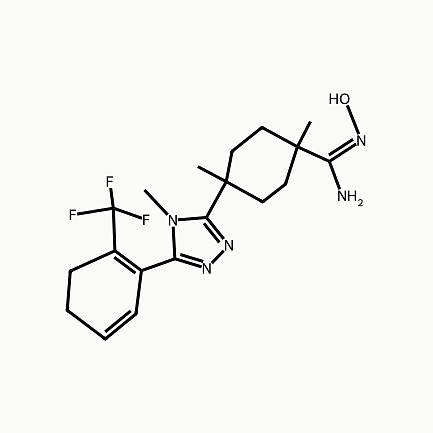 Cn1c(C2=C(C(F)(F)F)CCC=C2)nnc1C1(C)CCC(C)(/C(N)=N\O)CC1